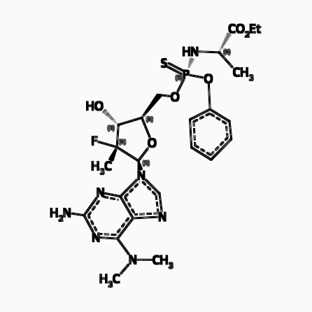 CCOC(=O)[C@H](C)N[P@@](=S)(OC[C@H]1O[C@@H](n2cnc3c(N(C)C)nc(N)nc32)[C@](C)(F)[C@@H]1O)Oc1ccccc1